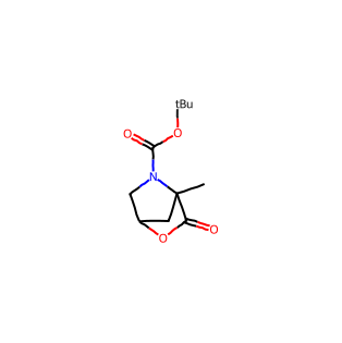 CC(C)(C)OC(=O)N1CC2CC1(C)C(=O)O2